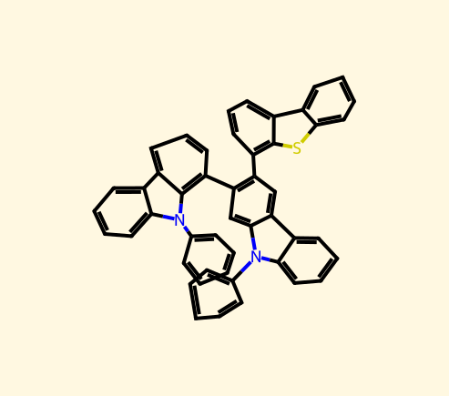 c1ccc(-n2c3ccccc3c3cc(-c4cccc5c4sc4ccccc45)c(-c4cccc5c6ccccc6n(-c6ccccc6)c45)cc32)cc1